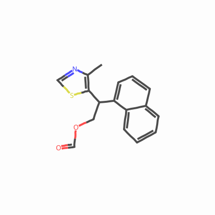 Cc1ncsc1C(COC=O)c1cccc2ccccc12